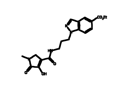 CCOC(=O)c1ccc2c(cnn2CCCNC(=O)C2=C(O)C(=O)N(C)C2)c1